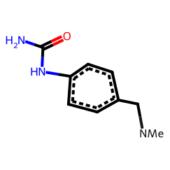 CNCc1ccc(NC(N)=O)cc1